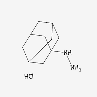 Cl.NNC12CC3CC(CC(C3)C1)C2